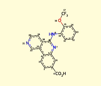 O=C(O)c1ccc2c(c1)nc(Nc1ccccc1OC(F)(F)F)c1ccncc12